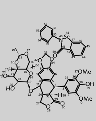 COc1cc([C@@H]2c3cc4c(cc3C(O[C@@H]3O[C@@H]5CO[C@@H](C)O[C@H]5[C@H](O)[C@H]3O)C3COC(=O)[C@@H]32)OCO4)cc(OC)c1O.O=c1c2ccccc2[se]n1-c1ccccc1